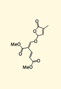 COC(=O)/C=C/C(=C\OC1C=C(C)C(=O)O1)C(=O)OC